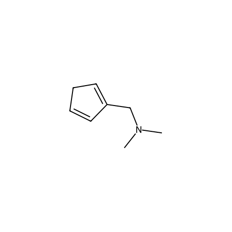 CN(C)CC1=CCC=C1